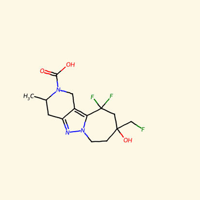 CC1Cc2nn3c(c2CN1C(=O)O)C(F)(F)CC(O)(CF)CC3